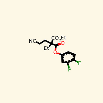 CCOC(=O)C(CC)(CCC#N)C(=O)Oc1ccc(F)c(F)c1